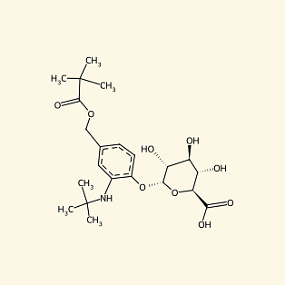 CC(C)(C)Nc1cc(COC(=O)C(C)(C)C)ccc1O[C@H]1O[C@H](C(=O)O)[C@@H](O)[C@H](O)[C@H]1O